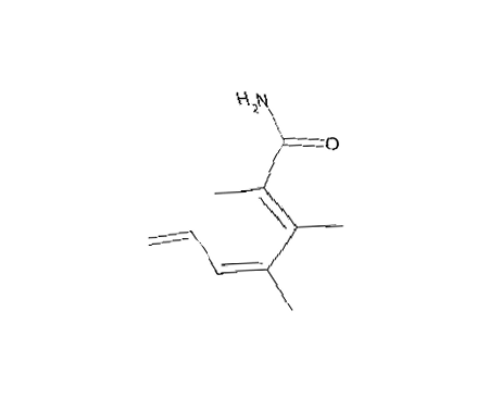 C=CC=C(C)C(C)=C(C)C(N)=O